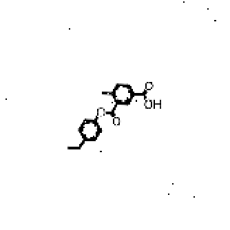 CCc1ccc(OC(=O)c2cc(C(=O)O)ccc2C)cc1